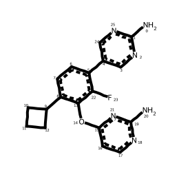 Nc1ncc(-c2ccc(C3CCC3)c(Oc3ccnc(N)n3)c2F)cn1